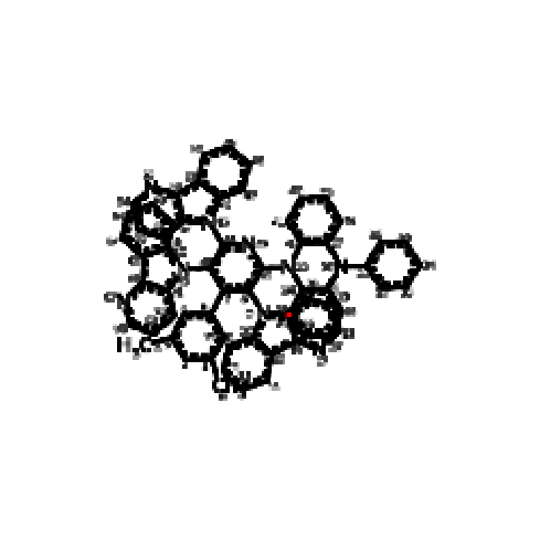 Cc1cc(C)cc(-c2c(-n3c4ccccc4c4ncccc43)c(N3c4ccccc4N(c4ccccc4)c4ccccc43)nc(-n3c4ccccc4c4ncccc43)c2-n2c3ccccc3c3ncccc32)c1